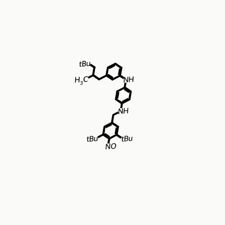 CC(Cc1cccc(Nc2ccc(NCc3cc(C(C)(C)C)c(N=O)c(C(C)(C)C)c3)cc2)c1)CC(C)(C)C